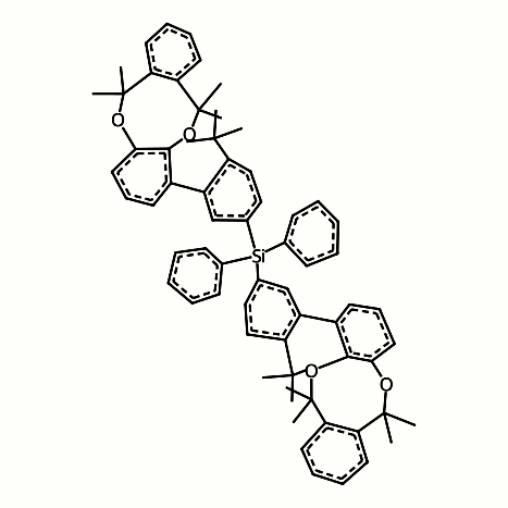 CC(C)(C)c1ccc([Si](c2ccccc2)(c2ccccc2)c2ccc(C(C)(C)C)c(-c3cccc4c3OC(C)(C)c3ccccc3C(C)(C)O4)c2)cc1-c1cccc2c1OC(C)(C)c1ccccc1C(C)(C)O2